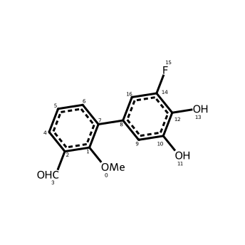 COc1c(C=O)cccc1-c1cc(O)c(O)c(F)c1